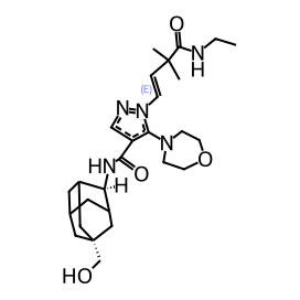 CCNC(=O)C(C)(C)/C=C/n1ncc(C(=O)N[C@H]2C3CC4CC2C[C@](CO)(C4)C3)c1N1CCOCC1